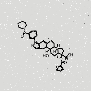 C[C@]12Cc3cnn(-c4cccc(C(=O)N5CCOCC5)c4)c3C=C1CC[C@@H]1[C@@H]2[C@@H](O)C[C@@]2(C)[C@H]1CC[C@]2(OC(=O)c1ccco1)C(=O)S